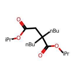 CCCCC(CCCC)(CC(=O)OC(C)C)C(=O)OC(C)C